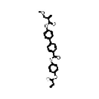 C=CC(=O)Oc1ccc(SC(=O)c2ccc(-c3ccc(OC(=O)C(=C)COC)cc3)cc2)cc1